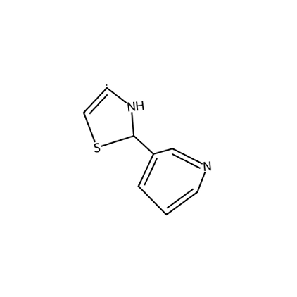 [C]1=CSC(c2cccnc2)N1